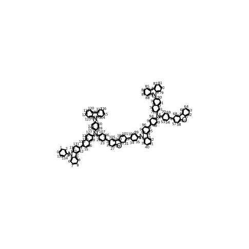 c1ccc(-n2c3ccccc3c3cc(-c4ccc5cc(N(c6ccc(-c7ccc8oc9cc(-c%10ccc(-n%11c%12ccccc%12c%12cc(-c%13ccc(N(c%14ccc(-c%15ccc%16oc%17ccccc%17c%16c%15)cc%14)c%14ccc%15cc(-n%16c%17ccccc%17c%17ccccc%17%16)ccc%15c%14)cc%13)ccc%12%11)cc%10)ccc9c8c7)cc6)c6ccc(-n7c8ccccc8c8ccccc87)cc6)ccc5c4)ccc32)cc1